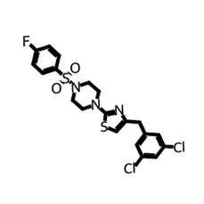 O=S(=O)(c1ccc(F)cc1)N1CCN(c2nc(Cc3cc(Cl)cc(Cl)c3)cs2)CC1